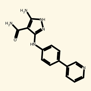 NC(=O)c1c(Nc2ccc(-c3cccnc3)cc2)n[nH]c1N